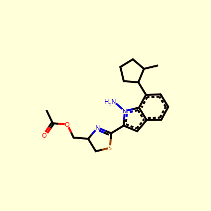 CC(=O)OCC1CSC(c2cc3cccc(C4CCCC4C)c3n2N)=N1